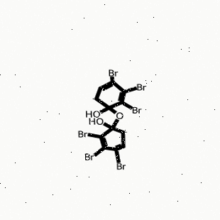 OC1(OC2(O)[CH]C=C(Br)C(Br)=C2Br)[CH]C=C(Br)C(Br)=C1Br